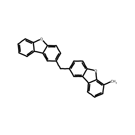 Cc1cccc2c1oc1ccc(Cc3ccc4oc5ccccc5c4c3)cc12